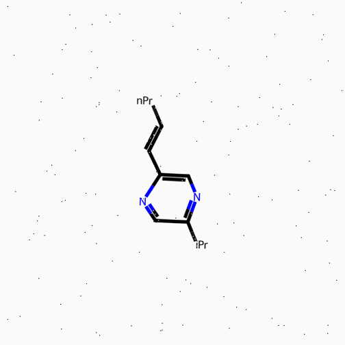 CCC/C=C/c1cnc(C(C)C)cn1